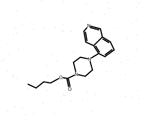 CCCCOC(=O)N1CCN(c2cccc3cnccc23)CC1